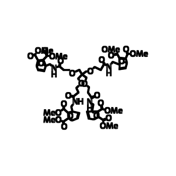 COC(=O)C1=C(C(=O)OC)C2(CNC(=O)CCOCC(COCCC(=O)NCC34C=CC(O3)C(C(=O)OC)=C4C(=O)OC)(COCCC(=O)NCC34C=CC(O3)C(C(=O)OC)=C4C(=O)OC)COCCC(=O)NCC34C=CC(O3)C(C(=O)OC)=C4C(=O)OC)C=CC1O2